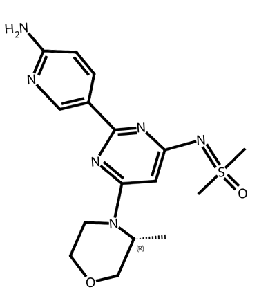 C[C@@H]1COCCN1c1cc(N=S(C)(C)=O)nc(-c2ccc(N)nc2)n1